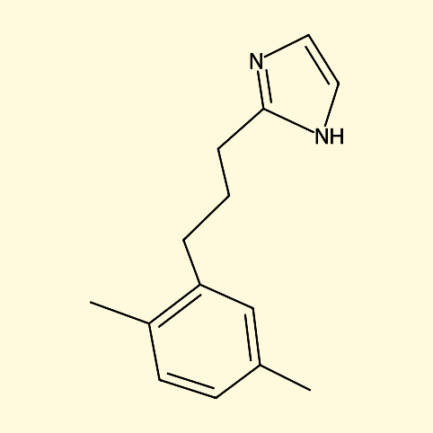 Cc1ccc(C)c(CCCc2ncc[nH]2)c1